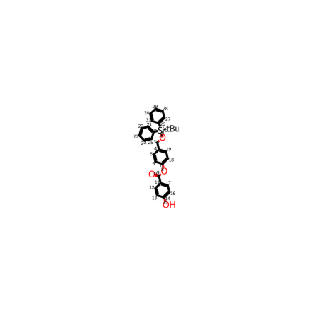 CC(C)(C)[Si](OCc1ccc(OC(=O)c2ccc(O)cc2)cc1)(c1ccccc1)c1ccccc1